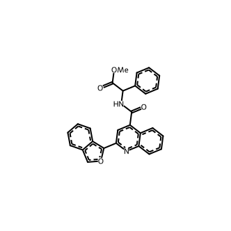 COC(=O)C(NC(=O)c1cc(-c2occ3ccccc23)nc2ccccc12)c1ccccc1